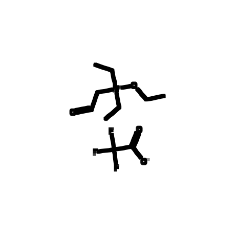 CCO[N+](CC)(CC)CC=O.O=C([O-])C(F)(F)F